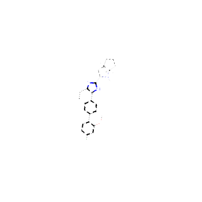 O=C(O)N1C(c2nc3c([nH]2)-c2cc4c(cc2CC3)-c2ccc(Cl)cc2OC4)C[C@@H]2CCC[C@@H]21